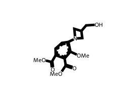 COC(=O)c1ccc(N2CC(CO)C2)c(OC)c1C(=O)OC